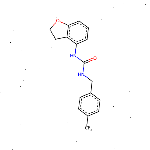 O=C(NCc1ccc(C(F)(F)F)cc1)Nc1cccc2c1CCO2